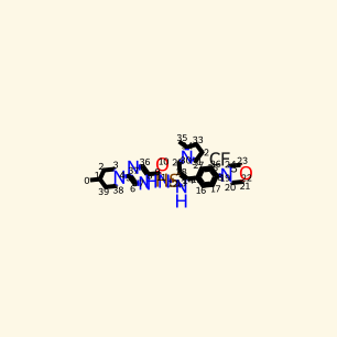 CC1CCN(c2cnc(C(=O)N[SH]3NC(c4ccc(N5CCOCC5)c(C(F)(F)F)c4)=C3CN3CCCC3C)cn2)CC1